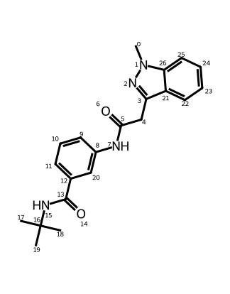 Cn1nc(CC(=O)Nc2cccc(C(=O)NC(C)(C)C)c2)c2ccccc21